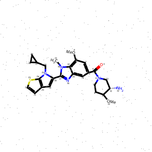 COc1cc(C(=O)N2CCC(OC)[C@@H](N)C2)cc2nc(-c3cc4ccsc4n3CC3CC3)n(C)c12